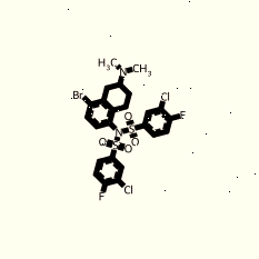 CN(C)C1CCc2c(N(S(=O)(=O)c3ccc(F)c(Cl)c3)S(=O)(=O)c3ccc(F)c(Cl)c3)ccc(Br)c2C1